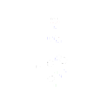 CCCCOC(=O)N1CCC(N)(C(=O)NCCCc2cn(-c3ccc(OC(F)(F)F)cc3)c3cc(CN4CCN(Cc5c(Cl)cccc5Cl)CC4)ccc23)CC1